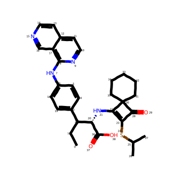 CCC(c1ccc(Nc2nccc3ccncc23)cc1)[C@H](NC1=C(SC(C)C)C(=O)C12CCCCC2)C(=O)O